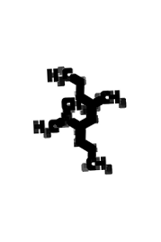 CC/C=C(\C=C(\C)CCC)N(C)C